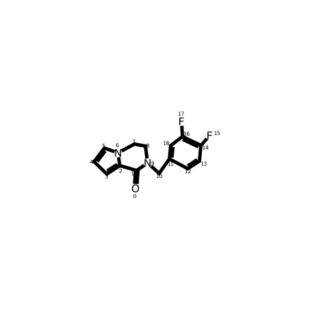 O=C1c2cccn2CCN1Cc1ccc(F)c(F)c1